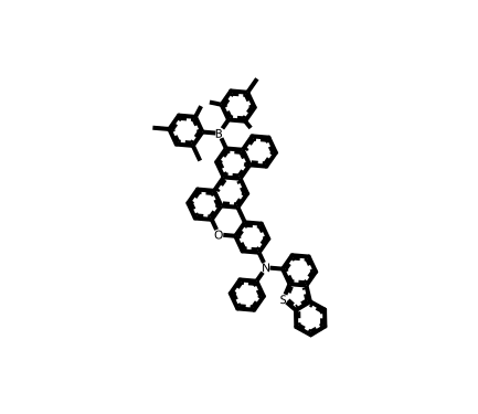 Cc1cc(C)c(B(c2c(C)cc(C)cc2C)c2cc3c4cccc5c4c(cc3c3ccccc23)-c2ccc(N(c3ccccc3)c3cccc4c3sc3ccccc34)cc2O5)c(C)c1